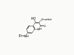 CCCCCCOc1c(O)c2ccc(NCC)cc2[nH]c1=O